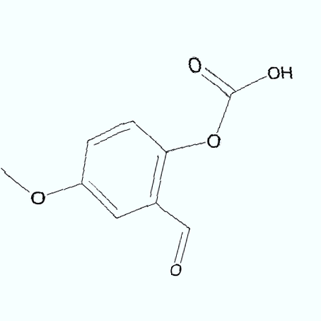 COc1ccc(OC(=O)O)c(C=O)c1